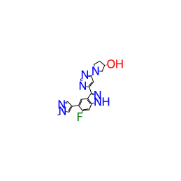 Cn1cc(-c2cc3c(-c4cc(N5CC[C@H](O)C5)ncn4)n[nH]c3cc2F)cn1